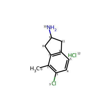 Cc1c(Cl)ccc2c1CC(N)C2.Cl